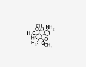 COC(=O)C1=C(C)NC(C)=C(C(=O)OC)C1c1cccc(N)c1